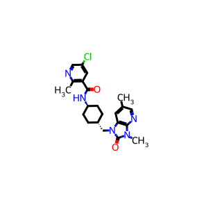 Cc1cnc2c(c1)n(C[C@H]1CC[C@H](NC(=O)c3cc(Cl)cnc3C)CC1)c(=O)n2C